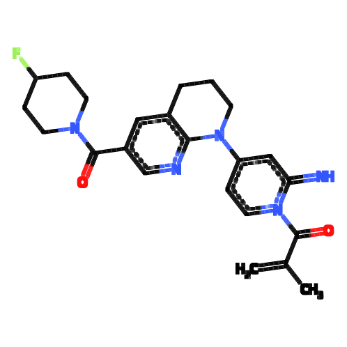 C=C(C)C(=O)n1ccc(N2CCCc3cc(C(=O)N4CCC(F)CC4)cnc32)cc1=N